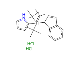 C[C](C)=[Ti]([c]1ccc[nH]1)([CH]1C=Cc2ccccc21)([C](C)(C)C)[C](C)(C)C.Cl.Cl